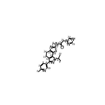 Cc1ccc(-c2nn(C(C)C)c3c2CCc2nc(NC(=O)Cn4cncn4)sc2-3)cn1